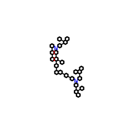 c1ccc(-c2ccc(-c3ccccc3N(c3ccc(-c4ccc(-c5ccc(-c6cccc7cc(-c8ccc(-c9ccc(N(c%10ccc(-c%11ccc%12ccccc%12c%11-c%11ccccc%11)cc%10)c%10cccc(-c%11cc%12ccccc%12c%12ccccc%11%12)c%10)cc9)cc8)ccc67)cc5)c(-c5ccccc5)c4)cc3)c3ccc(-c4ccc5ccccc5c4-c4ccccc4)cc3)cc2)cc1